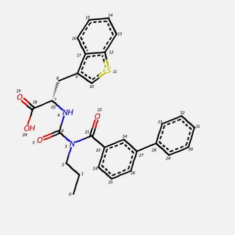 CCCN(C(=O)N[C@@H](Cc1csc2ccccc12)C(=O)O)C(=O)c1cccc(-c2ccccc2)c1